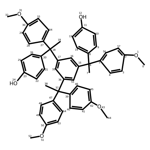 COc1ccc(C(C)(c2ccc(O)cc2)c2cc(C(C)(c3ccc(O)cc3)c3ccc(OC)cc3)cc(C(C)(c3ccc(OC)cc3)c3ccc(OC)cc3)c2)cc1